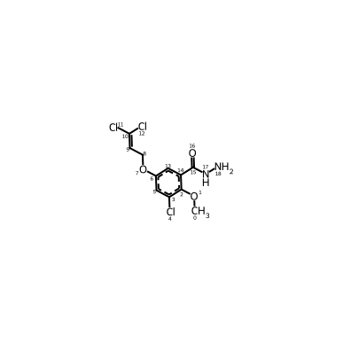 COc1c(Cl)cc(OCC=C(Cl)Cl)cc1C(=O)NN